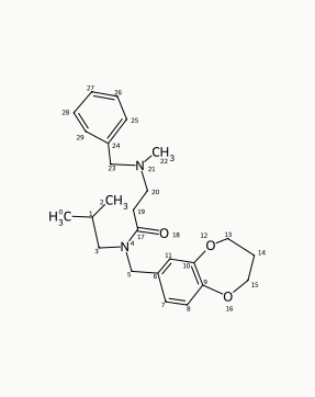 CC(C)CN(Cc1ccc2c(c1)OCCCO2)C(=O)CCN(C)Cc1ccccc1